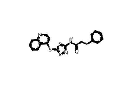 O=C(CCc1ccccc1)Nc1nnc(Sc2ccnc3ccccc23)s1